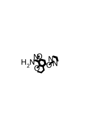 Nc1noc2cc(Oc3ncccn3)c3c(c12)OCCC3